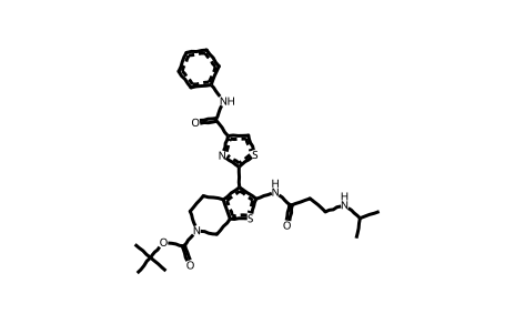 CC(C)NCCC(=O)Nc1sc2c(c1-c1nc(C(=O)Nc3ccccc3)cs1)CCN(C(=O)OC(C)(C)C)C2